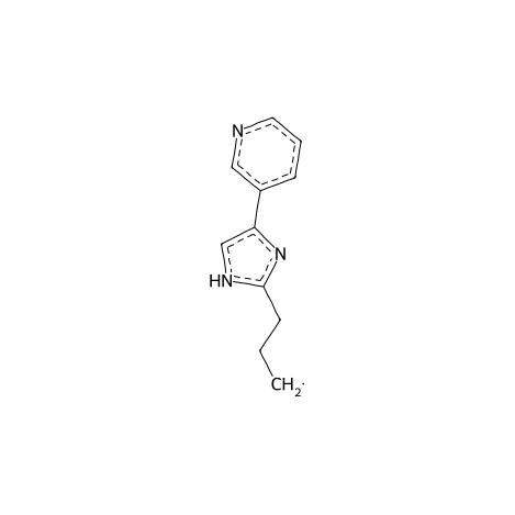 [CH2]CCc1nc(-c2cccnc2)c[nH]1